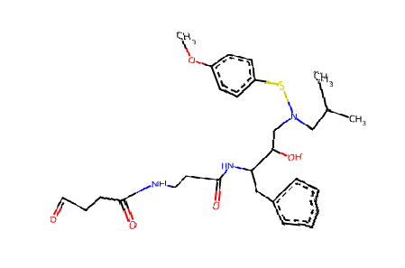 COc1ccc(SN(CC(C)C)CC(O)C(Cc2ccccc2)NC(=O)CCNC(=O)CCC=O)cc1